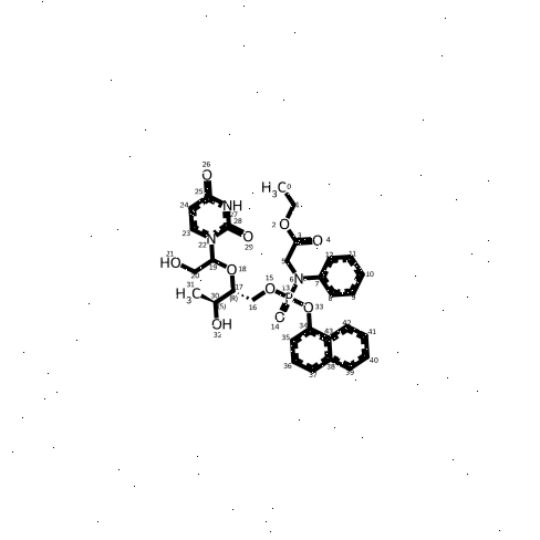 CCOC(=O)CN(c1ccccc1)P(=O)(OC[C@@H](OC(CO)n1ccc(=O)[nH]c1=O)[C@H](C)O)Oc1cccc2ccccc12